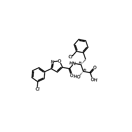 O=C(N[C@H](Cc1ccccc1Cl)[C@@H](O)C(=O)O)c1cc(-c2cccc(Cl)c2)no1